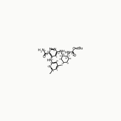 Cc1cc(C)nc(Nc2cc(N[C@@H]3CCCC[C@@H]3NC(=O)OC(C)(C)C)nnc2C(N)=O)c1